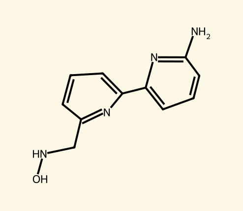 Nc1cccc(-c2cccc(CNO)n2)n1